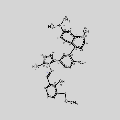 COCc1cccc(/C=N/n2c(N)nnc2-c2ccc(Cl)c(-c3ccc(O)c4nc(N(C)C)ccc34)c2)c1O